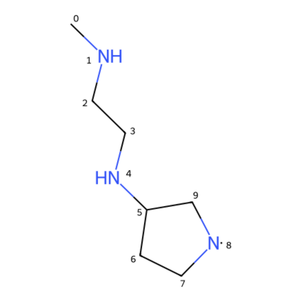 CNCCNC1CC[N]C1